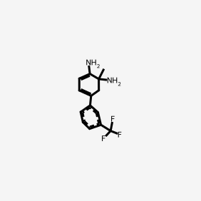 CC1(N)CC(c2cccc(C(F)(F)F)c2)=CC=C1N